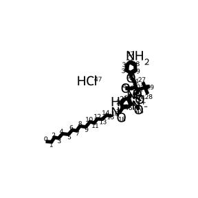 CCCCCCCCCCCCCCCCNC(=O)c1ccc(-n2oc(C(C)(C)C)c(COc3ccc(N)cc3)c2=O)c([N+](=O)[O-])c1.Cl